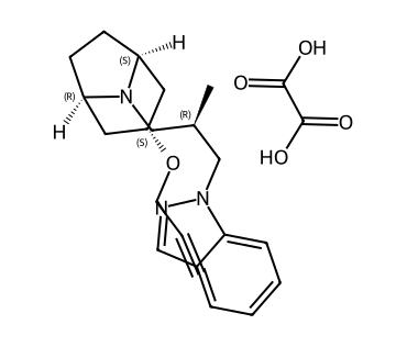 C#CCO[C@@H]1C[C@H]2CC[C@@H](C1)N2C[C@@H](C)Cn1ncc2ccccc21.O=C(O)C(=O)O